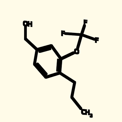 CCCc1ccc(CO)cc1OC(F)(F)F